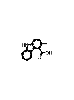 Cc1ccc2[nH]c3ccccc3c2c1C(=O)O